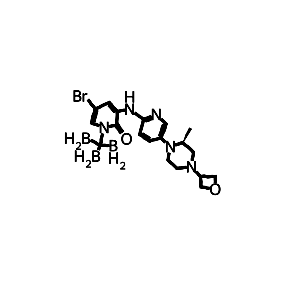 BC(B)(B)n1cc(Br)cc(Nc2ccc(N3CCN(C4COC4)C[C@@H]3C)cn2)c1=O